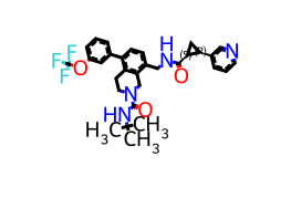 CC(C)(C)NC(=O)N1CCc2c(-c3cccc(OC(F)(F)F)c3)ccc(CNC(=O)[C@H]3C[C@H]3c3cccnc3)c2C1